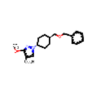 O=C(O)c1cn([C@H]2CC[C@H](COCc3ccccc3)CC2)nc1OC(F)(F)F